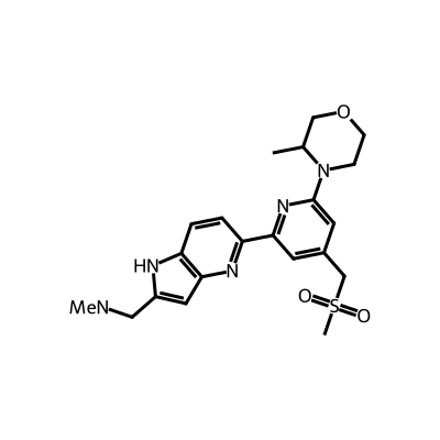 CNCc1cc2nc(-c3cc(CS(C)(=O)=O)cc(N4CCOCC4C)n3)ccc2[nH]1